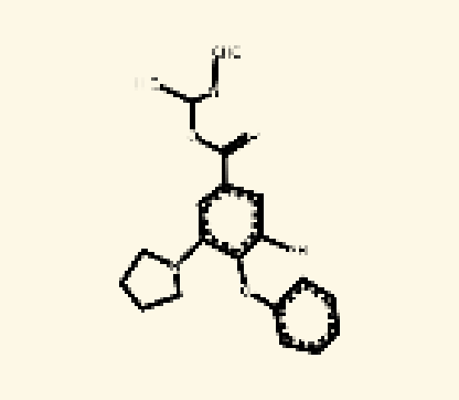 CC(OC=O)OC(=O)c1cc(S)c(Oc2ccccc2)c(N2CCCC2)c1